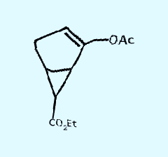 CCOC(=O)C1C2CC=C(OC(C)=O)C21